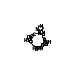 O=P1(S)OCCn2c(nc3cncnc32)COP(=O)(S)O[C@H]2CO[C@H](CO1)[C@H]2O